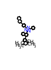 CC1(C)CCC(C)(C)c2cc(-c3ccc(-c4nc(-c5ccccc5)nc(-c5ccc(C6=CCC7C=CC=CC7=C6)cc5)n4)c4ccccc34)ccc21